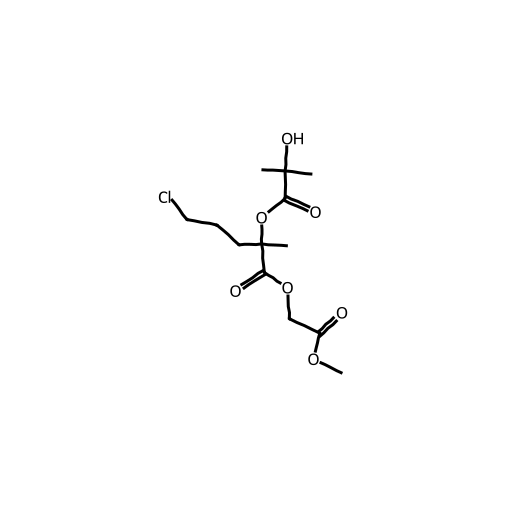 COC(=O)COC(=O)C(C)(CCCCl)OC(=O)C(C)(C)O